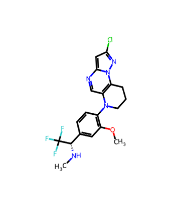 CN[C@@H](c1ccc(N2CCCc3c2cnc2cc(Cl)nn32)c(OC)c1)C(F)(F)F